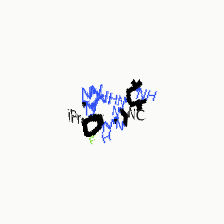 [C-]#[N+]c1cnc(Nc2cc(-n3cnnn3)c(C(C)C)cc2F)nc1NC1CC(C)(C)NC(C)(C)C1